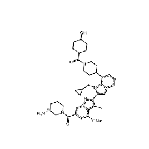 COc1cc(C(=O)N2CCC[C@@H](N)C2)cn2nc(-c3cc4cccc(C5CCN(C(=O)C6CCC(O)CC6)CC5)c4n3CC3CC3)c(C)c12